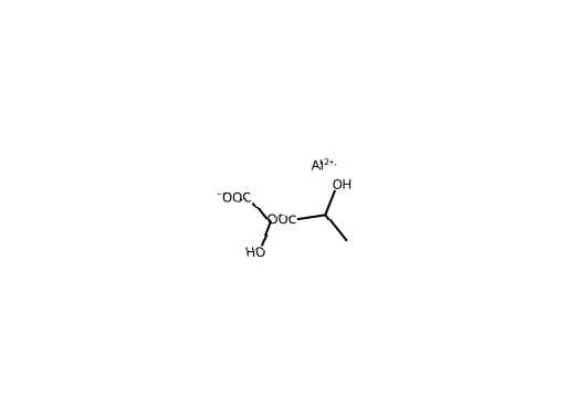 CC(O)C(=O)[O-].O=C([O-])CO.[Al+2]